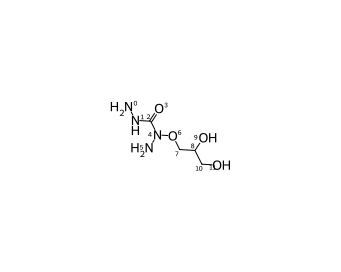 NNC(=O)N(N)OCC(O)CO